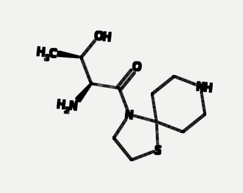 C[C@@H](O)[C@H](N)C(=O)N1CCSC12CCNCC2